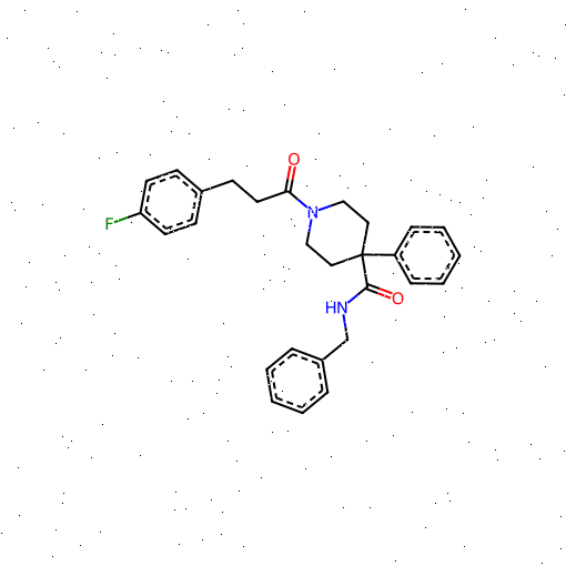 O=C(CCc1ccc(F)cc1)N1CCC(C(=O)NCc2ccccc2)(c2ccccc2)CC1